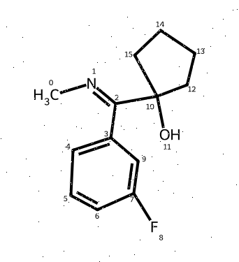 C/N=C(\c1cccc(F)c1)C1(O)CCCC1